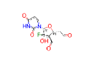 O=CC[C@H]1O[C@@H](n2ccc(=O)[nH]c2=O)[C@](O)(F)[C@@H]1C=O